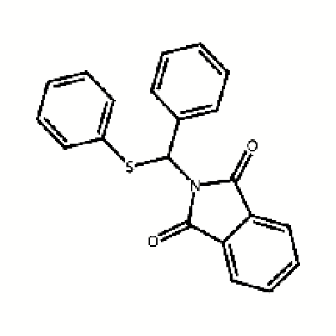 O=C1c2ccccc2C(=O)N1C(Sc1ccccc1)c1ccccc1